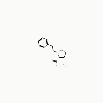 COC(=O)[C@@H]1CCCN1CCc1ccccc1